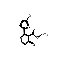 COC(=O)C1C(=O)CCCC1c1ccc(Cl)s1